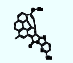 Cc1cc2c3c(=O)n4c5nc(C(C)(C)C)ccc5nc4c3c3cc(OC(C)(C)C)c4ccc5ccc1c1c5c4c3c21